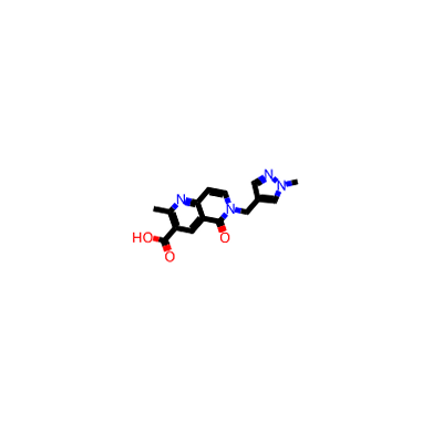 Cc1nc2ccn(Cc3cnn(C)c3)c(=O)c2cc1C(=O)O